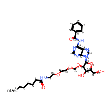 CCCCCCCCCCCCCCCC(=O)NCCOCCOCOC1C(O)C(CO)OC1n1cnc2c(NC(=O)c3ccccc3)ncnc21